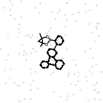 CC12CC1(C)OB(c1ccccc1-c1ccc3c4ccccc4c4ccccc4c3c1)O2